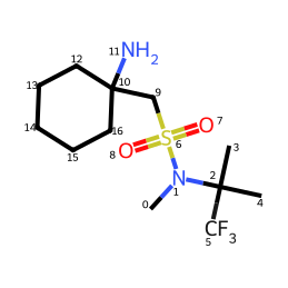 CN(C(C)(C)C(F)(F)F)S(=O)(=O)CC1(N)CCCCC1